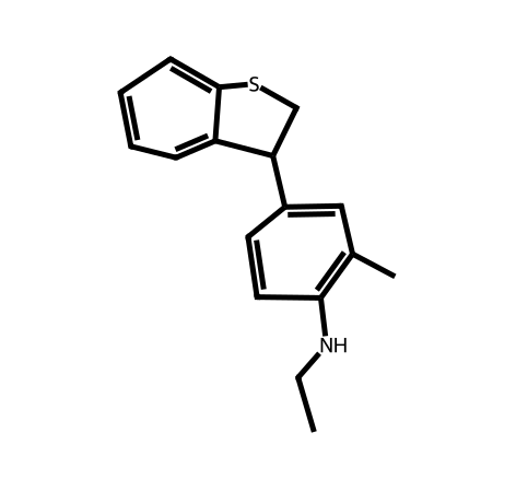 CCNc1ccc(C2CSc3ccccc32)cc1C